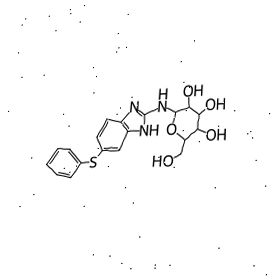 OCC1OC(Nc2nc3ccc(Sc4ccccc4)cc3[nH]2)C(O)C(O)C1O